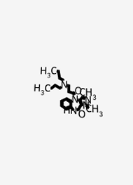 CCCCN(CCCC)CCC(=O)N1c2ccccc2NC(=O)c2c1c(C)nn2C